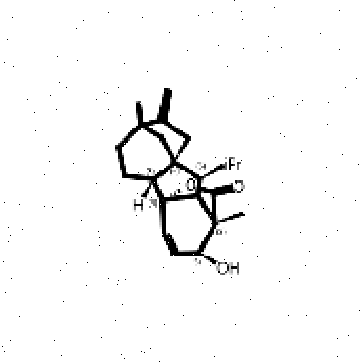 C=C1C[C@]23CC1(C)CC[C@H]2[C@@]12C=C[C@H](O)[C@@](C)(C(=O)O1)C2[C@@H]3C(C)C